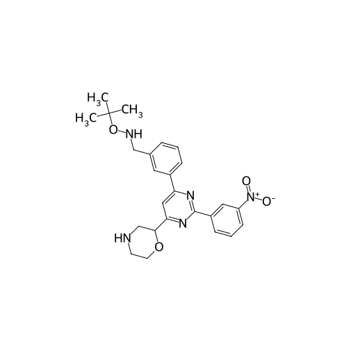 CC(C)(C)ONCc1cccc(-c2cc(C3CNCCO3)nc(-c3cccc([N+](=O)[O-])c3)n2)c1